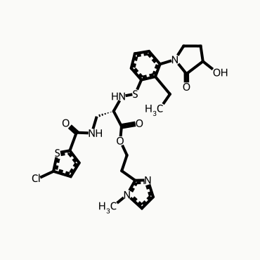 CCc1c(SN[C@@H](CNC(=O)c2ccc(Cl)s2)C(=O)OCCc2nccn2C)cccc1N1CCC(O)C1=O